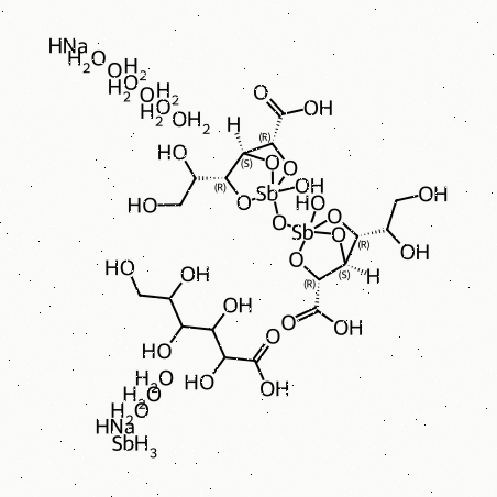 O.O.O.O.O.O.O.O.O.O=C(O)C(O)C(O)C(O)C(O)CO.O=C(O)[C@@H]1[O][Sb]2([OH])([O][Sb]34([OH])[O][C@@H]([C@@H](C(O)CO)[O]3)[C@H](C(=O)O)[O]4)[O][C@H]1[C@@H](C(O)CO)[O]2.[NaH].[NaH].[SbH3]